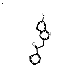 O=C(Cc1cnc2cc(Cl)ccc2c1)c1ccccc1